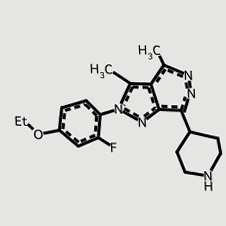 CCOc1ccc(-n2nc3c(C4CCNCC4)nnc(C)c3c2C)c(F)c1